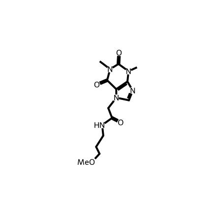 COCCCNC(=O)Cn1cnc2c1c(=O)n(C)c(=O)n2C